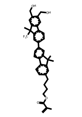 C=C(C)C(=O)OCCCCc1ccc2c(c1)C(C)(C)c1cc(-c3ccc4c(c3)C(C)(C(F)(F)F)c3cc(CO)c(CO)cc3-4)ccc1-2